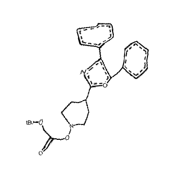 CC(C)(C)OC(=O)ON1CCC(c2nc(-c3ccccc3)c(-c3ccccc3)o2)CC1